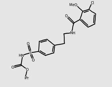 COc1c(Cl)cccc1C(=O)NCCc1ccc(S(=O)(=O)NC(=O)OC(C)C)cc1